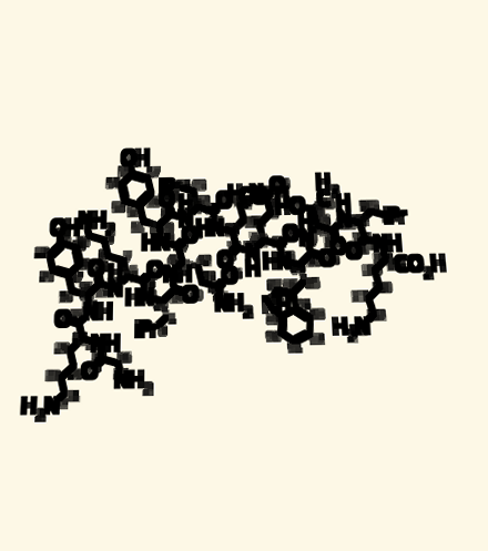 CC(C)C[C@H](NC(=O)[C@H](CCCCN)NC(=O)[C@H](Cc1ccc(O)cc1)NC(=O)[C@H](CCCCN)NC(=O)CN)C(=O)N[C@@H](CCC(N)=O)C(=O)N[C@@H](Cc1ccc(O)cc1)C(=O)N[C@@H](CC(C)C)C(=O)N[C@@H](CCC(=O)O)C(=O)N[C@@H](CCC(N)=O)C(=O)N[C@@H](Cc1c[nH]c2ccccc12)C(=O)N[C@H](C(=O)N[C@@H](CC(C)C)C(=O)N[C@@H](CCCCN)C(=O)O)[C@@H](C)O